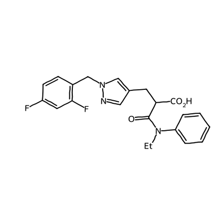 CCN(C(=O)C(Cc1cnn(Cc2ccc(F)cc2F)c1)C(=O)O)c1ccccc1